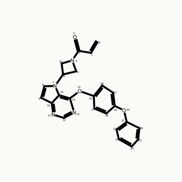 C=CC(=O)N1CC(n2ccc3ncnc(Oc4ccc(Oc5ccccc5)cc4)c32)C1